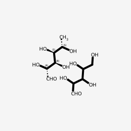 C[C@H](O)[C@H](O)[C@@H](O)[C@@H](O)C=O.O=CC(O)C(O)C(O)CO